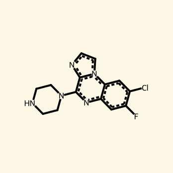 Fc1cc2nc(N3CCNCC3)c3nccn3c2cc1Cl